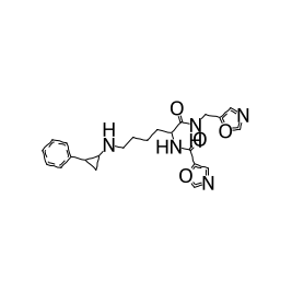 O=C(NC(CCCCNC1CC1c1ccccc1)C(=O)NCc1cnco1)c1cnco1